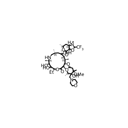 CC[C@H]1OC(=O)[C@H](C)[C@@H](O[C@H]2C[C@@](C)(OC)[C@](O)(CN3CCOCC3)[C@H](C)O2)[C@H](C)[C@@H](O[C@@H]2O[C@H](C)C[C@H]3[C@H]2OC(C(F)(F)F)N3C)[C@](C)(O)C[C@@H](C)CN[C@H](C)[C@@H](O)[C@]1(C)O